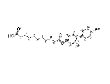 O=C(O)CCCCCCCCCC(=O)Oc1ccc(-c2ccc(F)cc2)c(F)c1